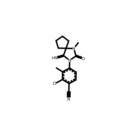 Cc1c(N2C(=N)C3(CCCC3)N(C)C2=O)ccc(C#N)c1Cl